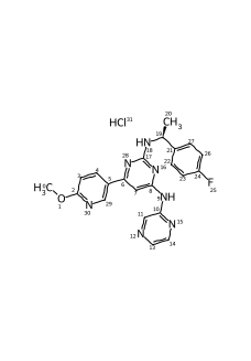 COc1ccc(-c2cc(Nc3cnccn3)nc(N[C@@H](C)c3ccc(F)cc3)n2)cn1.Cl